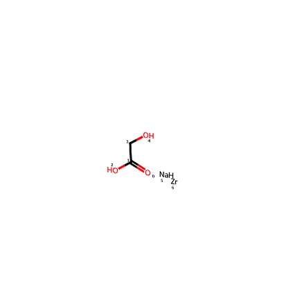 O=C(O)CO.[NaH].[Zr]